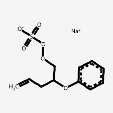 C=CCC(COOS(=O)(=O)[O-])Oc1ccccc1.[Na+]